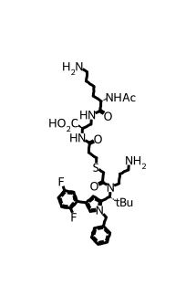 CC(=O)N[C@@H](CCCCN)C(=O)NC[C@@H](NC(=O)CCSCC(=O)N(CCCN)[C@@H](c1cc(-c2cc(F)ccc2F)cn1Cc1ccccc1)C(C)(C)C)C(=O)O